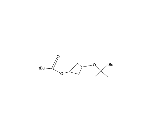 CC(C)(C)C(=O)OC1CC(O[Si](C)(C)C(C)(C)C)C1